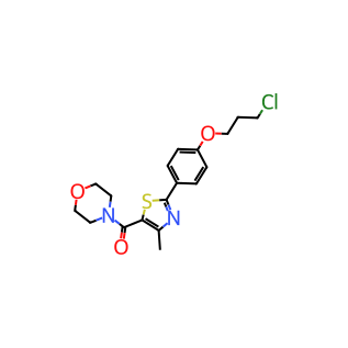 Cc1nc(-c2ccc(OCCCCl)cc2)sc1C(=O)N1CCOCC1